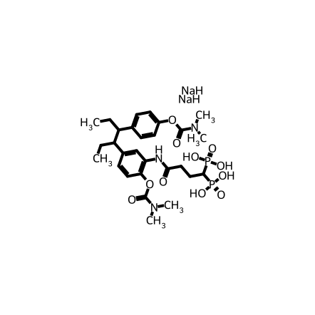 CCC(c1ccc(OC(=O)N(C)C)cc1)C(CC)c1ccc(OC(=O)N(C)C)c(NC(=O)CCC(P(=O)(O)O)P(=O)(O)O)c1.[NaH].[NaH]